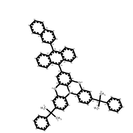 CC(C)(c1ccccc1)c1ccc2c(c1)Oc1cc(-c3c4ccccc4c(-c4ccc5ccccc5c4)c4ccccc34)cc3c1B2c1ccc(C(C)(C)c2ccccc2)cc1O3